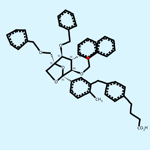 Cc1ccc([C@]23OC[C@](COCc4ccccc4)(O2)[C@@H](OCc2ccccc2)[C@H](OCc2ccccc2)[C@H]3OCc2ccccc2)cc1Cc1ccc(CCCC(=O)O)cc1